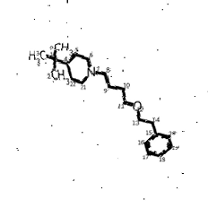 CC(C)(C)C1CCN(CCCCOCCc2ccccc2)CC1